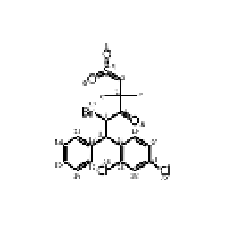 CC(C)(C=S(=O)=O)C(=O)C(Br)C(c1ccccc1)c1ccc(Cl)cc1Cl